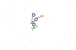 OCCc1ccc(-n2c(CCCc3cccnc3)nc3cc(C(F)(F)F)c(Cl)cc32)cc1